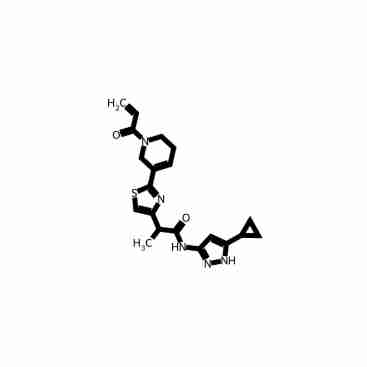 C=CC(=O)N1CCC=C(c2nc(C(C)C(=O)Nc3cc(C4CC4)[nH]n3)cs2)C1